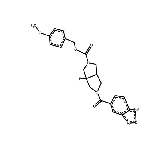 O=C(OCc1ccc(OC(F)(F)F)cc1)N1CC2CN(C(=O)c3ccc4[nH]nnc4c3)CC2(F)C1